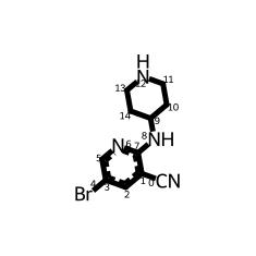 N#Cc1cc(Br)cnc1NC1CCNCC1